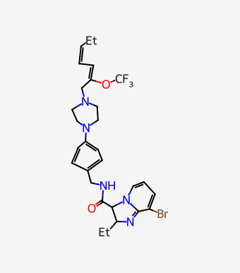 CC/C=C\C=C(/CN1CCN(c2ccc(CNC(=O)C3C(CC)N=C4C(Br)=CC=CN43)cc2)CC1)OC(F)(F)F